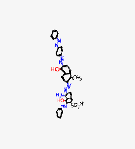 Cc1c(N=Nc2ccc3cc(S(=O)(=O)O)c(N=Nc4ccccc4)c(O)c3c2N)ccc2c(O)c(N=Nc3ccc(N=Nc4ccccc4)cc3)ccc12